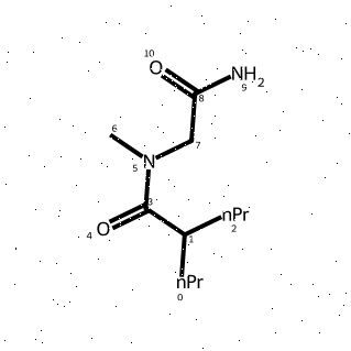 CCCC(CCC)C(=O)N(C)CC(N)=O